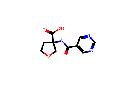 O=C(NC1(C(=O)O)CCOC1)c1cncnc1